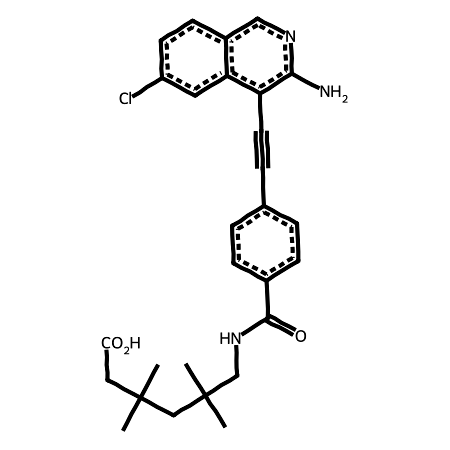 CC(C)(CNC(=O)c1ccc(C#Cc2c(N)ncc3ccc(Cl)cc23)cc1)CC(C)(C)CC(=O)O